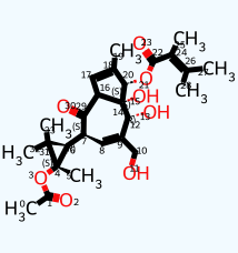 CC(=O)O[C@@]1(C)[C@H]([C@@H]2C=C(CO)[C@@H](O)[C@@]3(O)C(C=C(C)[C@@H]3OC(=O)C(C)=C(C)C)C2=O)C1(C)C